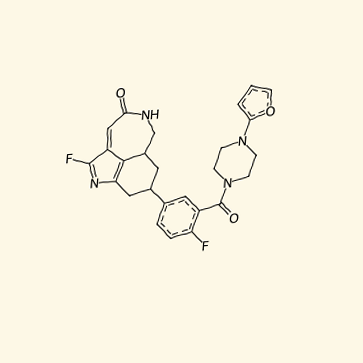 O=C1C=C2C(F)=NC3=C2C(CN1)CC(c1ccc(F)c(C(=O)N2CCN(c4ccco4)CC2)c1)C3